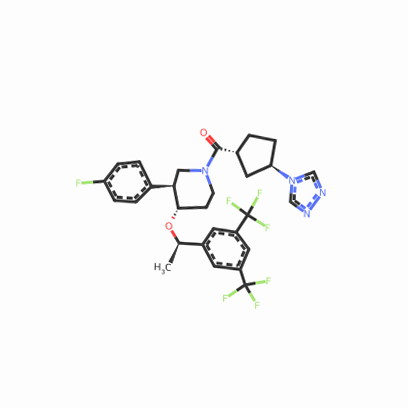 C[C@@H](O[C@H]1CCN(C(=O)[C@@H]2CC[C@@H](n3cnnc3)C2)C[C@@H]1c1ccc(F)cc1)c1cc(C(F)(F)F)cc(C(F)(F)F)c1